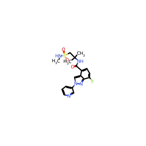 CNS(=O)(=O)CC(C)(C)NC(=O)c1ccc(F)c2nn(-c3cccnc3)cc12